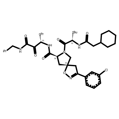 CCC[C@H](NC(=O)[C@@H]1C[C@]2(CC(c3cccc(Cl)c3)=NO2)CN1C(=O)[C@@H](NC(=O)CC1CCCCC1)C(C)(C)C)C(=O)C(=O)NCC(C)C